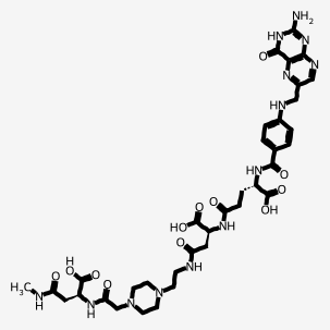 CNC(=O)C[C@H](NC(=O)CN1CCN(CCNC(=O)C[C@H](NC(=O)CC[C@H](NC(=O)c2ccc(NCc3cnc4nc(N)[nH]c(=O)c4n3)cc2)C(=O)O)C(=O)O)CC1)C(=O)O